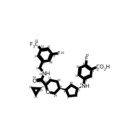 O=C(O)c1cc(N[C@@H]2CCC([C@@H]3CC[C@@](C(=O)NCc4cc(F)cc(C(F)(F)F)c4)(C4CC4)OC3)C2)ccc1F